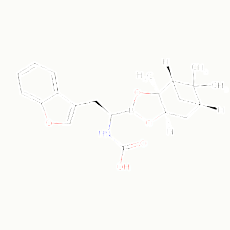 CC1(C)[C@@H]2C[C@H]3OB([C@H](Cc4coc5ccccc45)NC(=O)O)O[C@@]3(C)[C@H]1C2